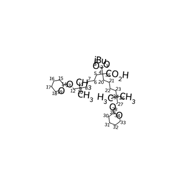 CCC(C)OC(=O)C(CCCCC(C)(C)COC1CCCCO1)(CCCCC(C)(C)COC1CCCCO1)C(=O)O